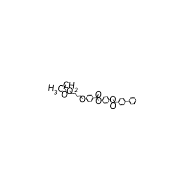 C=C(C)C(=O)OCCCCOc1ccc(C(=O)Oc2ccc(OC(=O)c3ccc(-c4ccccc4)cc3)cc2)cc1